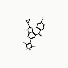 C=C(c1ccc(Cl)cc1)c1cc(-c2c(C)noc2C)cc2[nH]c(C3CC3)nc12